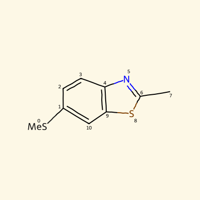 CSc1ccc2nc(C)sc2c1